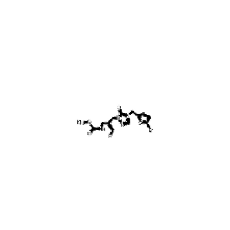 CC(C)(C)OC(=O)NCC(=CF)Cn1ncn(Cc2ccc(Br)s2)c1=O